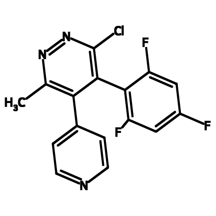 Cc1nnc(Cl)c(-c2c(F)cc(F)cc2F)c1-c1ccncc1